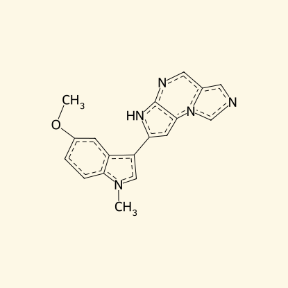 COc1ccc2c(c1)c(-c1cc3c(ncc4cncn43)[nH]1)cn2C